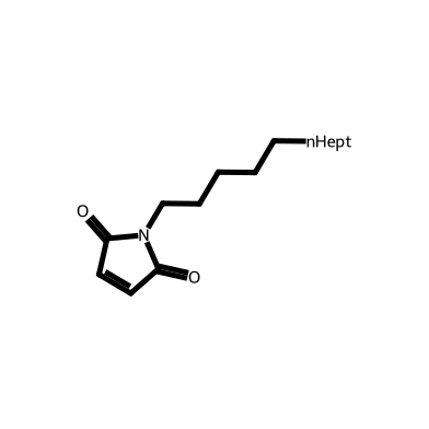 CCCCCCCCCCCCN1C(=O)C=CC1=O